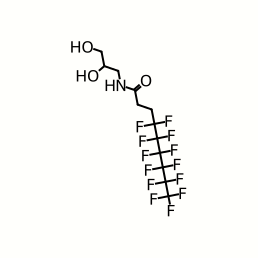 O=C(CCC(F)(F)C(F)(F)C(F)(F)C(F)(F)C(F)(F)C(F)(F)F)NCC(O)CO